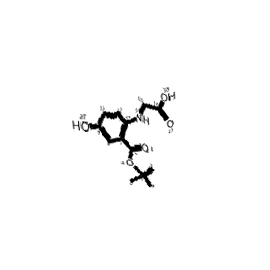 CC(C)(C)OC(=O)c1cc(O)ccc1NCC(=O)O